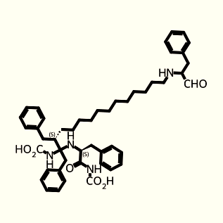 O=CC(Cc1ccccc1)NCCCCCCCCCCCC[C@@H](Cc1ccccc1)C(Cc1ccccc1)(NC(=O)O)N[C@@H](Cc1ccccc1)C(=O)NC(=O)O